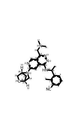 Cc1c(C#N)cccc1C(C)Nc1nnc(CN(C)C)c2cnc(N3C[C@H]4C[C@@H]3CO4)cc12